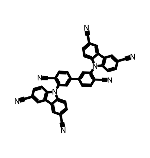 N#Cc1ccc2c(c1)c1cc(C#N)ccc1n2-c1cc(-c2ccc(C#N)c(-n3c4ccc(C#N)cc4c4cc(C#N)ccc43)c2)ccc1C#N